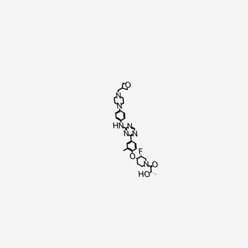 Cc1cc(-c2ncnc(Nc3ccc(N4CCN(CC5COC5)CC4)cc3)n2)ccc1O[C@H]1CCN(C(=O)[C@H](C)O)C[C@H]1F